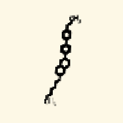 CCCCCCCC1CCC2CC(c3ccc(-c4ccc(CCC)cc4)cc3)CCC2C1